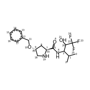 CC(C)C(NC(=O)[C@@H]1C[C@@H](OCc2ccccc2)CN1)C(O)C(F)(F)F